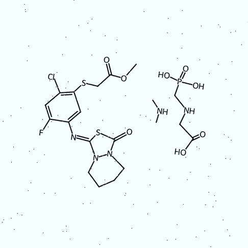 CNC.COC(=O)CSc1cc(/N=c2\sc(=O)n3n2CCCC3)c(F)cc1Cl.O=C(O)CNCP(=O)(O)O